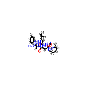 CC(NC(=O)C(CC(=O)N1CCCC[C@@H]1C)NC(=O)CCC(C)(C)C)c1nc2ccccc2[nH]1